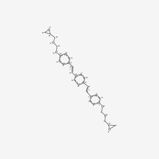 C(=C\c1ccc(OCOCC2CO2)cc1)/c1ccc(/C=C/c2ccc(OCOCC3CO3)cc2)cc1